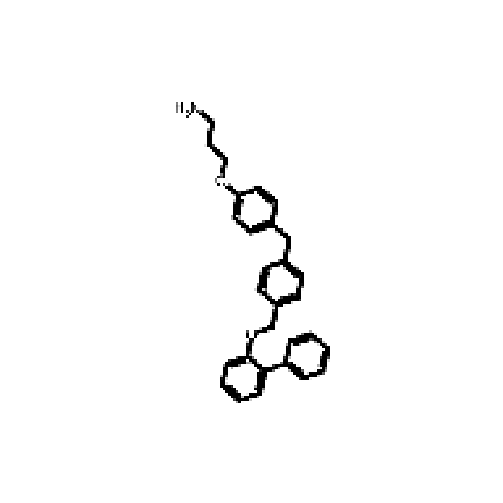 NCCCOc1ccc(Cc2c[c]c(COc3ccccc3-c3ccccc3)cc2)cc1